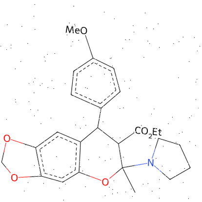 CCOC(=O)C1C(c2ccc(OC)cc2)c2cc3c(cc2OC1(C)N1CCCC1)OCO3